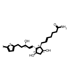 NC(=O)CCCC=CC[C@@H]1[C@@H](C=C[C@@H](O)CCc2ccc(I)s2)[C@H](O)C[C@@H]1O